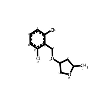 CC1CC(OCc2c(Cl)cccc2Cl)CO1